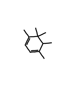 CC1=CC=C(C)C(C)(C)C1C